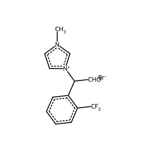 Cn1cc[n+](C(C=O)c2ccccc2C(F)(F)F)c1.[Br-]